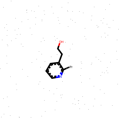 CC(C)c1ncccc1CCO